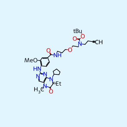 C#CCCN(CCOCCCNC(=O)c1ccc(Nc2ncc3c(n2)N(C2CCCC2)[C@H](CC)C(=O)N3C)c(OC)c1)C(=O)OC(C)(C)C